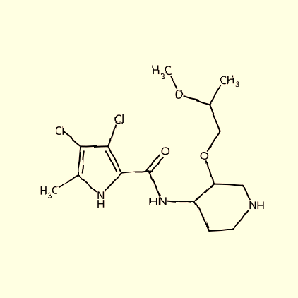 COC(C)COC1CNCCC1NC(=O)c1[nH]c(C)c(Cl)c1Cl